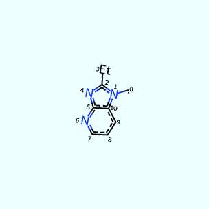 [CH2]n1c(CC)nc2ncccc21